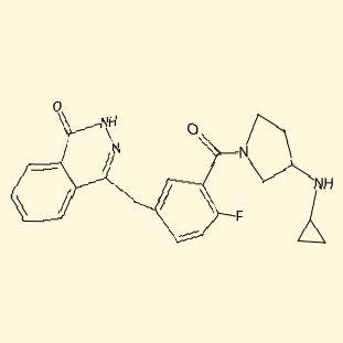 O=C(c1cc(Cc2n[nH]c(=O)c3ccccc23)ccc1F)N1CCC(NC2CC2)C1